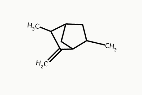 C=C1C(C)C2CC(C)C1C2